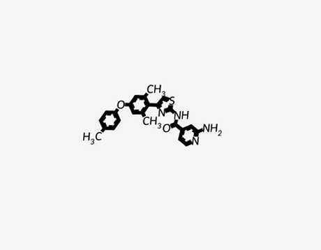 Cc1ccc(Oc2cc(C)c(-c3csc(NC(=O)c4ccnc(N)c4)n3)c(C)c2)cc1